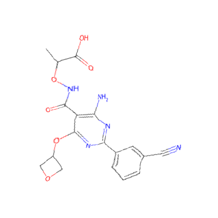 CC(ONC(=O)c1c(N)nc(-c2cccc(C#N)c2)nc1OC1COC1)C(=O)O